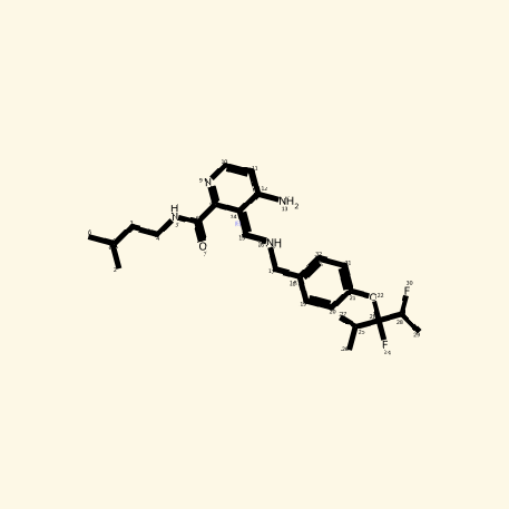 CC(C)CCNC(=O)C1=NC=CC(N)/C1=C\NCc1ccc(OC(F)(C(C)C)C(C)F)cc1